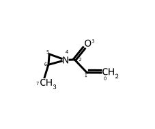 C=CC(=O)N1CC1C